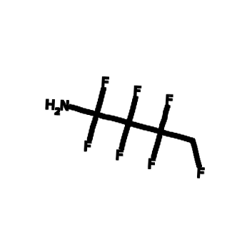 NC(F)(F)C(F)(F)C(F)(F)CF